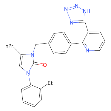 CCCc1cn(-c2ccccc2CC)c(=O)n1Cc1ccc(-c2ncccc2-c2nnn[nH]2)cc1